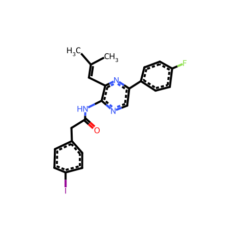 CC(C)=Cc1nc(-c2ccc(F)cc2)cnc1NC(=O)Cc1ccc(I)cc1